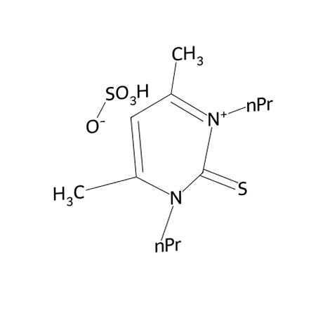 CCCn1c(C)cc(C)[n+](CCC)c1=S.O=S(=O)([O-])O